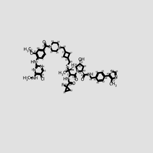 CNc1nc(Nc2ccc(C(=O)N3CCN(CC4CC(CSC(C)(C)C(NC(=O)C5(F)CC5)C(=O)N5C[C@H](O)C[C@H]5C(=O)NCc5ccc(-c6scnc6C)cc5)C4)CC3)cc2OC)ncc1Cl